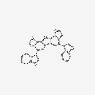 c1ccc2c(-c3cc4c5cc(-c6csc7ccccc67)c6ccsc6c5oc4c4sccc34)csc2c1